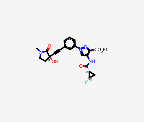 CCOC(=O)c1nn(-c2cccc(C#C[C@]3(O)CCN(C)C3=O)c2)cc1NC(=O)[C@@H]1C[C@@H]1F